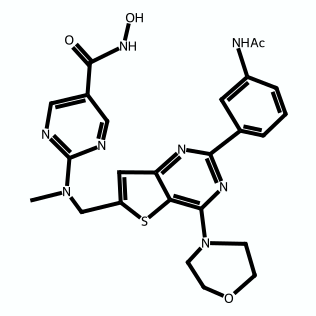 CC(=O)Nc1cccc(-c2nc(N3CCOCC3)c3sc(CN(C)c4ncc(C(=O)NO)cn4)cc3n2)c1